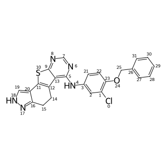 Clc1cc(Nc2ncnc3sc4c(c23)CCc2n[nH]cc2-4)ccc1OCc1ccccc1